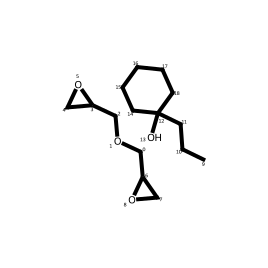 C(OCC1CO1)C1CO1.CCCC1(O)CCCCC1